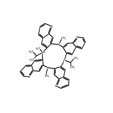 CC(C)P1c2cc3cccnc3cc2N(C)c2cc3ncccc3cc2[PH](C)(C(C)C)c2cc3cccnc3cc2N(C)c2cc3ncccc3cc21